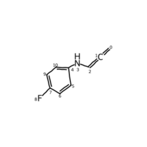 C=C=CNc1ccc(F)cc1